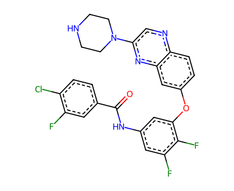 O=C(Nc1cc(F)c(F)c(Oc2ccc3ncc(N4CCNCC4)nc3c2)c1)c1ccc(Cl)c(F)c1